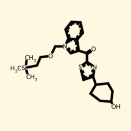 C[Si](C)(C)CCOCn1cc(C(=O)c2nc(C3CCC(O)CC3)cs2)c2ccccc21